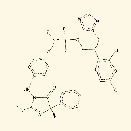 CSC1=N[C@@](C)(c2ccccc2)C(=O)N1Nc1ccccc1.FC(F)C(F)(F)OCC(Cn1cncn1)c1ccc(Cl)cc1Cl